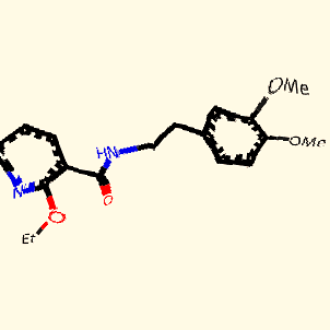 CCOc1ncccc1C(=O)NCCc1ccc(OC)c(OC)c1